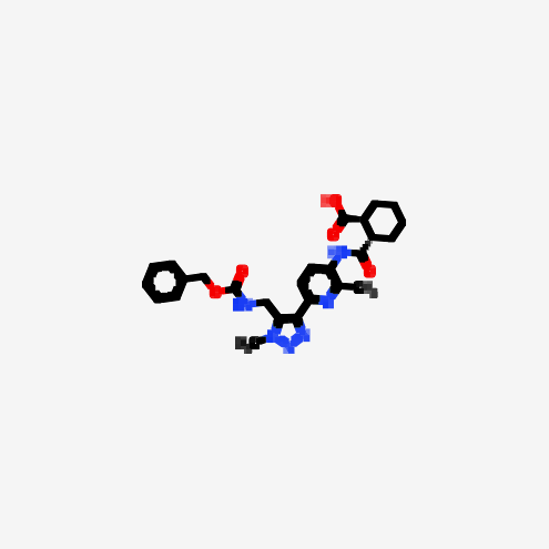 Cc1nc(-c2nnn(C)c2CNC(=O)OCc2ccccc2)ccc1NC(=O)[C@H]1CCCC[C@@H]1C(=O)O